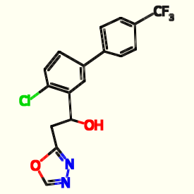 OC(Cc1nnco1)c1cc(-c2ccc(C(F)(F)F)cc2)ccc1Cl